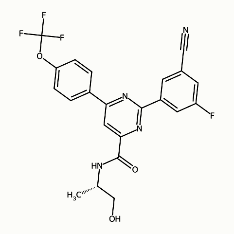 C[C@@H](CO)NC(=O)c1cc(-c2ccc(OC(F)(F)F)cc2)nc(-c2cc(F)cc(C#N)c2)n1